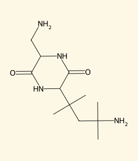 CC(C)(N)CC(C)(C)C1NC(=O)C(CN)NC1=O